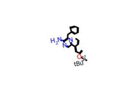 C=C(/C=C(\C=C/C)c1cnc(N)c(Cc2ccccc2)n1)O[Si](C)(C)C(C)(C)C